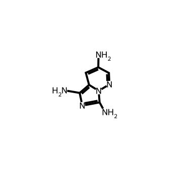 Nc1cnn2c(N)nc(N)c2c1